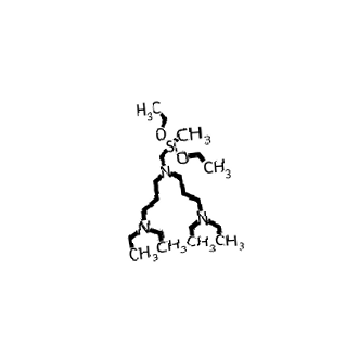 CCO[Si](C)(CN(CCCN(CC)CC)CCCN(CC)CC)OCC